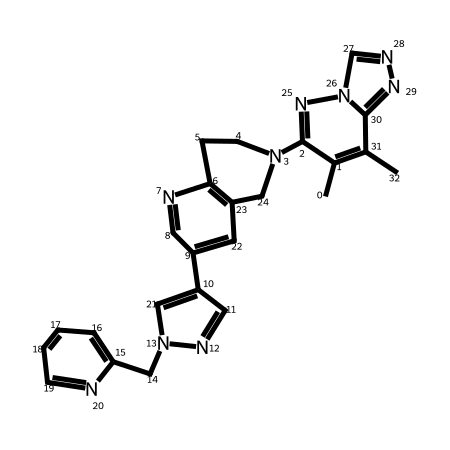 Cc1c(N2CCc3ncc(-c4cnn(Cc5ccccn5)c4)cc3C2)nn2cnnc2c1C